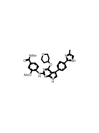 CNC(=O)c1ccc(Nc2nc(OC3CCOCC3)c3c(-c4ccc(-c5nc(C)c[nH]5)cc4)c[nH]c3n2)c(OC)c1